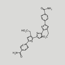 NC(=O)c1ccc(-c2cc(CC(=O)O)c(-c3ccc(-c4sc(-c5ccc(C(N)=O)cc5)cc4CC(=O)O)s3)s2)cc1